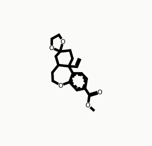 C=CC12CCC3(CC1CCOc1cc(C(=O)OC)ccc12)OCCO3